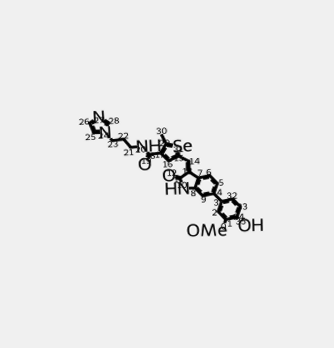 COc1cc(-c2ccc3c(c2)NC(=O)/C3=C\c2cc(C(=O)NCCCn3ccnc3)c(C)[se]2)ccc1O